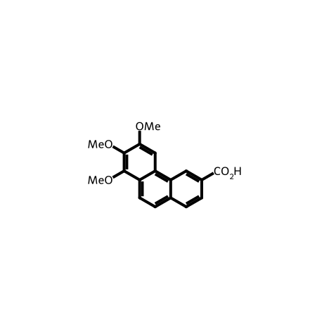 COc1cc2c(ccc3ccc(C(=O)O)cc32)c(OC)c1OC